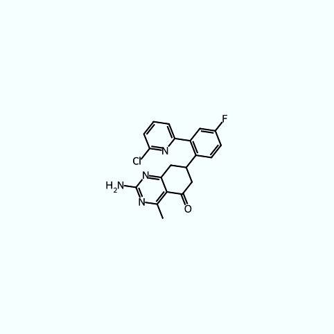 Cc1nc(N)nc2c1C(=O)CC(c1ccc(F)cc1-c1cccc(Cl)n1)C2